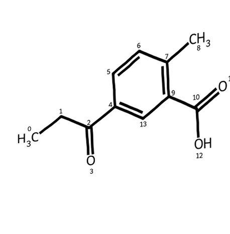 CCC(=O)c1ccc(C)c(C(=O)O)c1